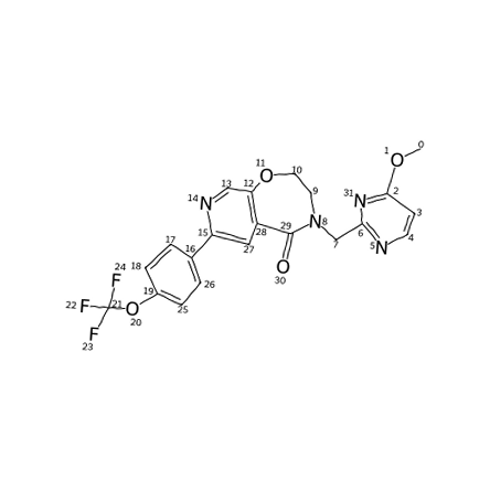 COc1ccnc(CN2CCOc3cnc(-c4ccc(OC(F)(F)F)cc4)cc3C2=O)n1